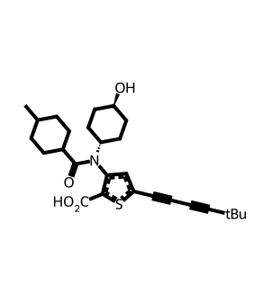 CC1CCC(C(=O)N(c2cc(C#CC#CC(C)(C)C)sc2C(=O)O)[C@H]2CC[C@H](O)CC2)CC1